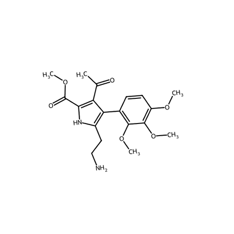 COC(=O)c1[nH]c(CCN)c(-c2ccc(OC)c(OC)c2OC)c1C(C)=O